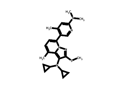 CSc1nn2c(-c3cnc(N(C)C)cc3C)ccc(C)c2c1N(C1CC1)C1CC1